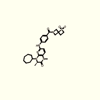 C[C@@H]1C(=O)N(C)c2ccc(Nc3ccc(C(=O)N4CC5(CCS5(=O)=O)C4)cc3)nc2N1C1CCCCCC1